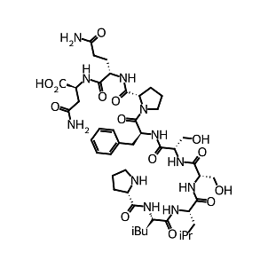 CC[C@H](C)[C@H](NC(=O)[C@@H]1CCCN1)C(=O)N[C@@H](CC(C)C)C(=O)N[C@@H](CO)C(=O)N[C@@H](CO)C(=O)N[C@@H](Cc1ccccc1)C(=O)N1CCC[C@H]1C(=O)N[C@@H](CCC(N)=O)C(=O)N[C@@H](CC(N)=O)C(=O)O